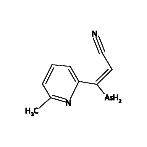 Cc1cccc(/C([AsH2])=C\C#N)n1